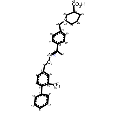 C/C(=N\OCc1ccc(-c2ccccc2)c(C(F)(F)F)c1)c1ccc(CN2CCCC(C(=O)O)C2)cc1